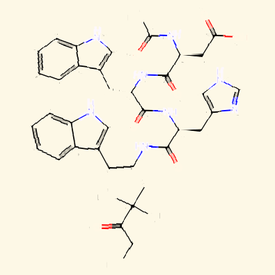 CCC(=O)C(C)(C)C[C@H](Cc1c[nH]c2ccccc12)NC(=O)[C@H](Cc1c[nH]cn1)NC(=O)[C@H](Cc1c[nH]c2ccccc12)NC(=O)[C@H](CC(=O)O)NC(C)=O